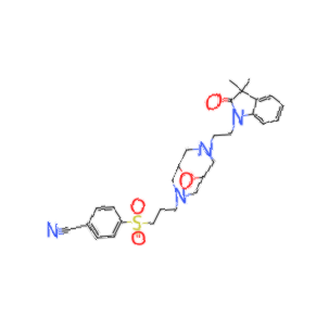 CC1(C)C(=O)N(CCN2CC3CN(CCCS(=O)(=O)c4ccc(C#N)cc4)CC(C2)O3)c2ccccc21